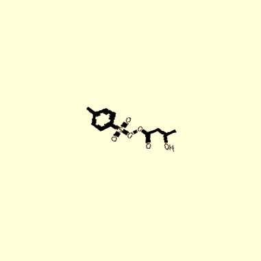 Cc1ccc(S(=O)(=O)OOC(=O)CC(C)O)cc1